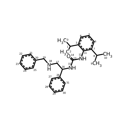 CC(C)c1cccc(C(C)C)c1NC(=O)NC(CNCc1ccccc1)c1ccccc1